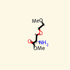 COCCOC[C@H](N)C(=O)OC